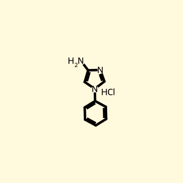 Cl.Nc1cn(-c2ccccc2)cn1